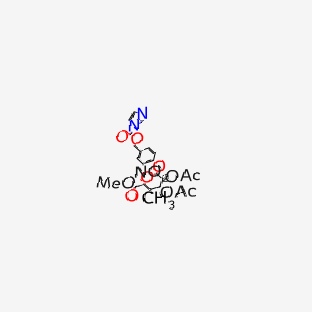 COC(=O)[C@H]1O[C@@H](Oc2ccc(COC(=O)n3ccnc3)cc2[N+](=O)[O-])[C@H](OC(C)=O)[C@@H](OC(C)=O)[C@@H]1C